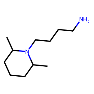 CC1CCCC(C)N1CCCCN